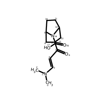 CN(C)C=CC(=O)C1CC2CCC(C1)N2C(=O)O